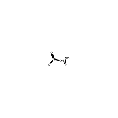 O=[N+]([O-])O.O=[N+][O-]